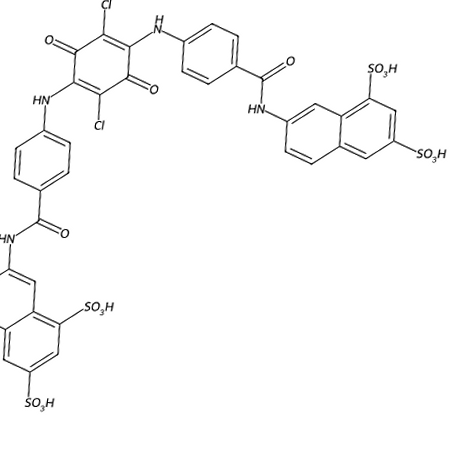 O=C1C(Cl)=C(Nc2ccc(C(=O)Nc3ccc4cc(S(=O)(=O)O)cc(S(=O)(=O)O)c4c3)cc2)C(=O)C(Cl)=C1Nc1ccc(C(=O)Nc2ccc3cc(S(=O)(=O)O)cc(S(=O)(=O)O)c3c2)cc1